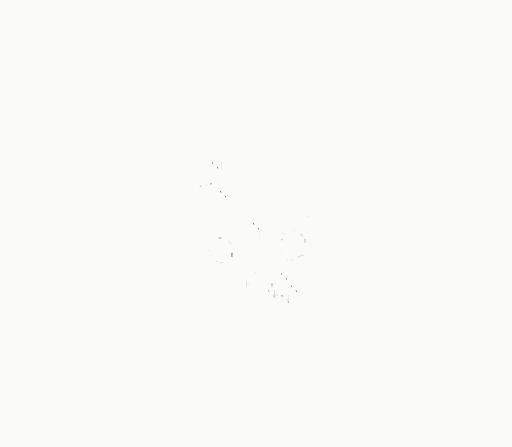 CCNC(=O)N1CC[C@H](NCc2cc(-n3nnnc3C(F)(F)F)cc3c2OCC3)[C@H](c2ccccc2)C1